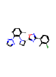 Cc1cc[c]c(-n2nccn2)c1N1CC[C@H]1c1nc(-c2cccc(F)c2C)no1